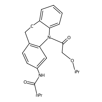 CCCC(=O)Nc1ccc2c(c1)N(C(=O)COC(C)C)c1ccccc1CC2